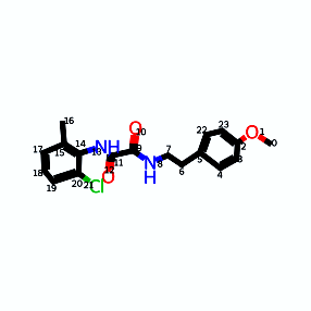 COc1ccc(CCNC(=O)C(=O)Nc2c(C)cccc2Cl)cc1